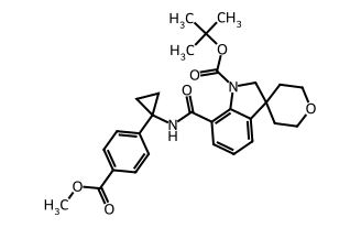 COC(=O)c1ccc(C2(NC(=O)c3cccc4c3N(C(=O)OC(C)(C)C)CC43CCOCC3)CC2)cc1